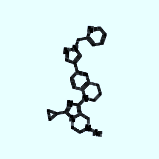 CC(=O)N1CCn2c(C3CC3)nc(N3CCCc4cc(-c5cnn(Cc6ccccn6)c5)ccc43)c2C1